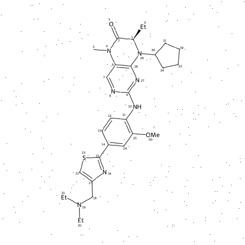 CC[C@@H]1C(=O)N(C)c2cnc(Nc3ccc(-c4nc(CN(CC)CC)cs4)cc3OC)nc2N1C1CCCC1